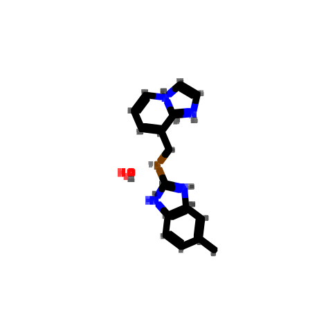 Cc1ccc2[nH]c(SCc3cccn4ccnc34)nc2c1.O